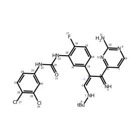 CC(C)(C)N/C=C(\C(=N)c1ccnc(N)n1)c1ccc(F)c(NC(=O)Nc2ccc(Cl)c(Cl)c2)c1